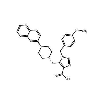 COc1ccc(Cn2nnc(C(=O)O)c2S[C@H]2CC[C@H](c3ccc4ncccc4c3)CC2)cc1